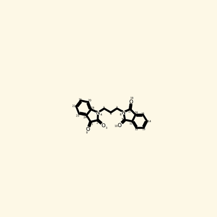 O=C1C(=O)N(CCCN2C(=O)c3ccccc3C2=O)c2ccccc21